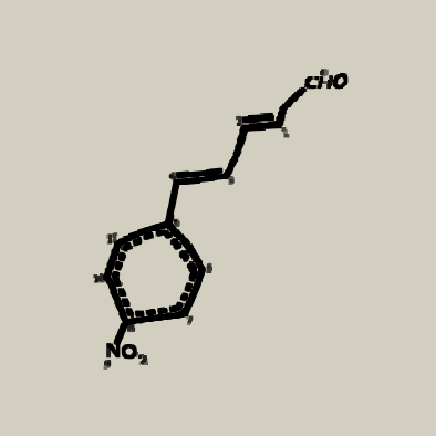 O=C/C=C/C=Cc1ccc([N+](=O)[O-])cc1